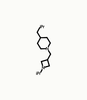 CC(C)CC1CCN(CC2CN(C(C)C)C2)CC1